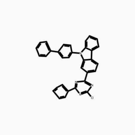 Clc1nc(-c2ccccc2)nc(-c2ccc3c4ccccc4n(-c4ccc(-c5ccccc5)cc4)c3c2)n1